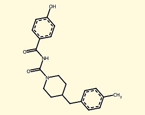 Cc1ccc(CC2CCN(C(=O)NC(=O)c3ccc(O)cc3)CC2)cc1